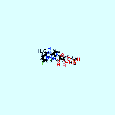 CC(Nc1nc(Cl)nc2c1ccn2[C@@H]1O[C@H](COCP(=O)(O)O)[C@@H](O)[C@H]1O)c1ccc(F)cn1